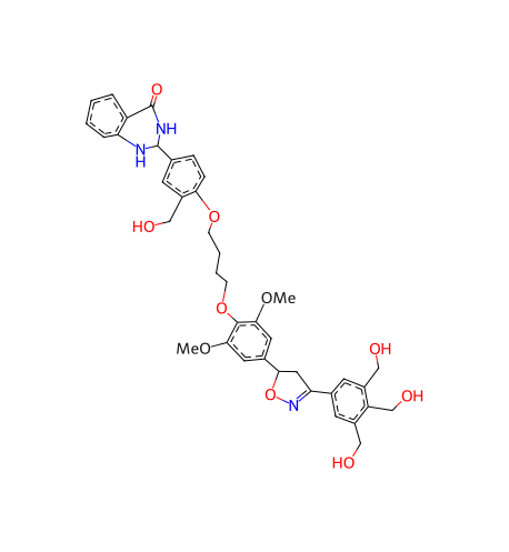 COc1cc(C2CC(c3cc(CO)c(CO)c(CO)c3)=NO2)cc(OC)c1OCCCCOc1ccc(C2NC(=O)c3ccccc3N2)cc1CO